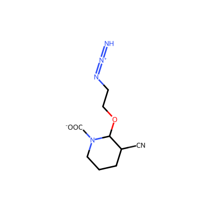 N#CC1CCCN(C(=O)[O-])C1OCCN=[N+]=N